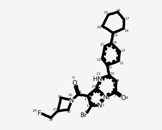 O=C(c1c(Br)nn2c(=O)cc(-c3ccc(C4CCCCC4)cc3)[nH]c12)N1CC(CF)C1